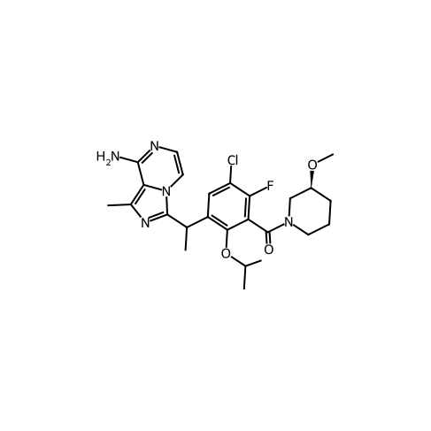 CO[C@H]1CCCN(C(=O)c2c(F)c(Cl)cc(C(C)c3nc(C)c4c(N)nccn34)c2OC(C)C)C1